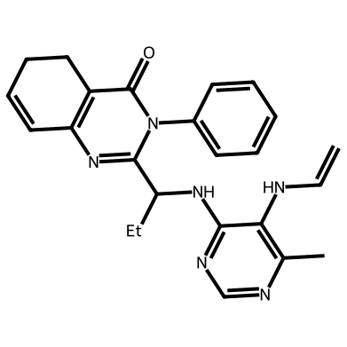 C=CNc1c(C)ncnc1NC(CC)c1nc2c(c(=O)n1-c1ccccc1)CCC=C2